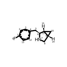 Fc1ccc(C[C@@H]2NC[C@H]3C[C@H]32)cc1